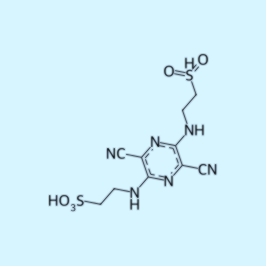 N#Cc1nc(NCCS(=O)(=O)O)c(C#N)nc1NCC[SH](=O)=O